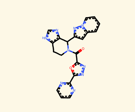 O=C(c1nnc(-c2ncccn2)o1)N1CCc2[nH]cnc2C1c1cc2ccccn2n1